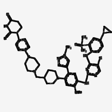 COc1cc(N2CCC(CN3CCN(c4ccc(C5CCC(=O)NC5=O)cc4)CC3)CC2)c(-c2cnn(C)c2)cc1Nc1ncc(Cl)c(Nc2ccc(C3CC3)cc2P(C)(C)=O)n1